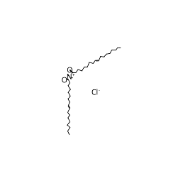 CCCCCCCCC=CCCCCCCCC(=O)[N+](C)(C)C(=O)CCCCCCCC=CCCCCCCCC.[Cl-]